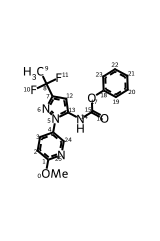 COc1ccc(-n2nc(C(C)(F)F)cc2NC(=O)Oc2ccccc2)cn1